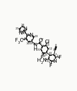 C#Cc1c(F)nc(F)c(N)c1-c1cc(Cl)c(C(=O)Nc2cnc(-n3nccn3)c(C(F)(F)F)c2)cc1F